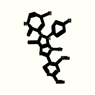 COc1ncc(-c2nc3c(n2C(C)C)[C@H](c2ccc(Cl)cc2)N(C2=CC(Cl)C#CNC2=O)C3=O)c(OC)n1